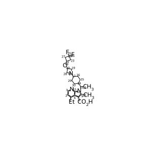 CCc1ccnc2c1c(C(=O)O)c(C)n2C(C)C1CCC(N2CC(OC3CC(F)(F)C3)C2)CC1